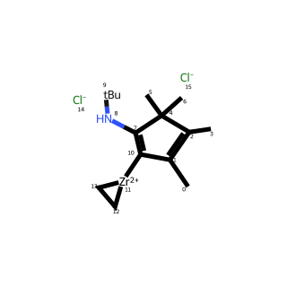 CC1=C(C)C(C)(C)C(NC(C)(C)C)=[C]1[Zr+2]1[CH2][CH2]1.[Cl-].[Cl-]